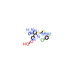 [C-]#[N+]c1c(N)nc(SCc2csc(Nc3cc(Cl)ccc3F)n2)c(C#N)c1-c1ccc(OCCO)nc1